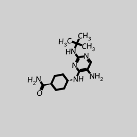 CC(C)(C)Nc1ncc(N)c(N[C@H]2CC[C@H](C(N)=O)CC2)n1